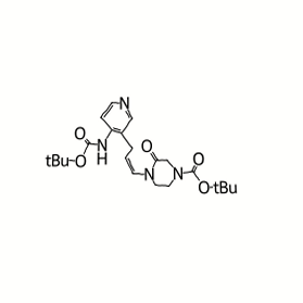 CC(C)(C)OC(=O)Nc1ccncc1C/C=C\N1CCN(C(=O)OC(C)(C)C)CC1=O